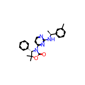 Cc1cccc([C@H](C)Nc2nccc(N3C(=O)OC(C)(C)[C@@H]3c3ccccc3)n2)c1